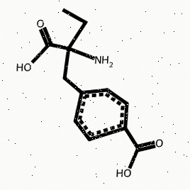 CCC(N)(Cc1ccc(C(=O)O)cc1)C(=O)O